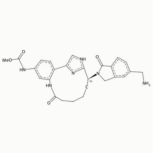 COC(=O)Nc1ccc2c(c1)NC(=O)CCCC[C@H](N1Cc3cc(CN)ccc3C1=O)c1nc-2c[nH]1